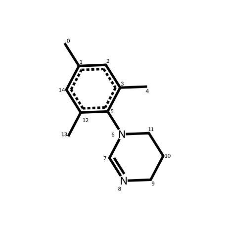 Cc1cc(C)c(N2C=NCCC2)c(C)c1